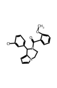 COc1ccccc1C(=O)N1CCn2cccc2C1c1cccc(Cl)c1